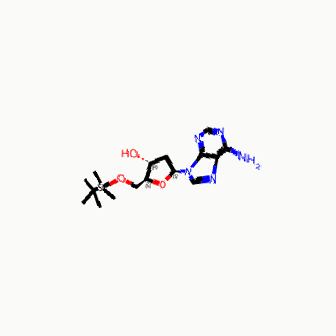 CC(C)(C)[Si](C)(C)OC[C@@H]1O[C@H](n2cnc3c(N)ncnc32)C[C@H]1O